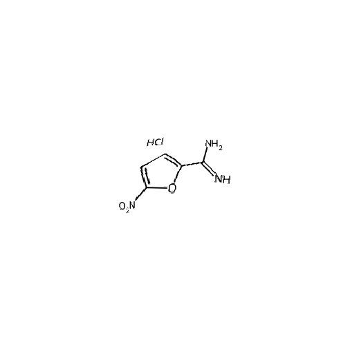 Cl.N=C(N)c1ccc([N+](=O)[O-])o1